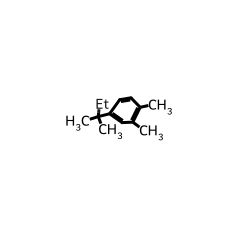 CCC(C)(C)c1ccc(C)c(C)c1